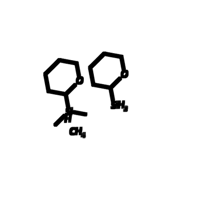 C.C[SiH](C)C1CCCCO1.[SiH3]C1CCCCO1